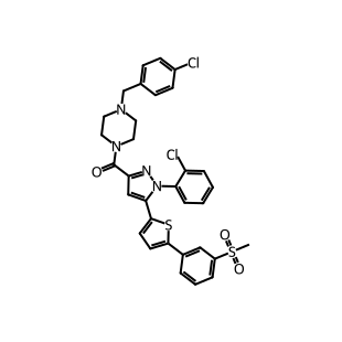 CS(=O)(=O)c1cccc(-c2ccc(-c3cc(C(=O)N4CCN(Cc5ccc(Cl)cc5)CC4)nn3-c3ccccc3Cl)s2)c1